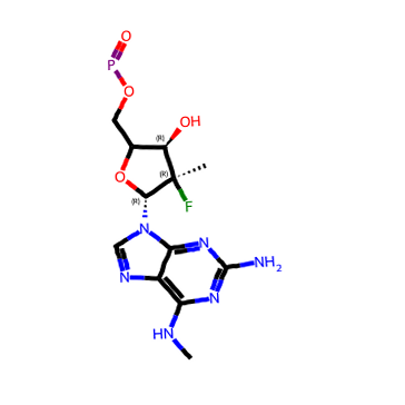 CNc1nc(N)nc2c1ncn2[C@@H]1OC(COP=O)[C@@H](O)[C@@]1(C)F